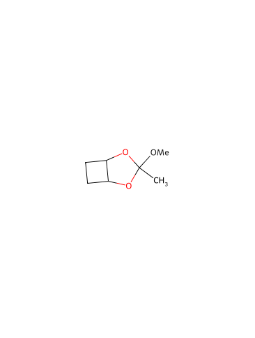 COC1(C)OC2CCC2O1